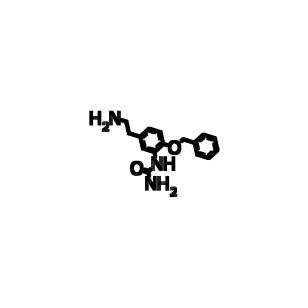 NCCc1ccc(OCc2ccccc2)c(NC(N)=O)c1